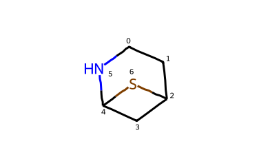 C1CC2CC(N1)S2